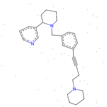 C(#Cc1cccc(CN2CCCCC2c2cccnc2)c1)CCN1CCCCC1